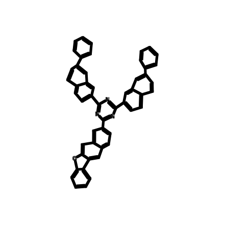 c1ccc(-c2ccc3ccc(-c4nc(-c5ccc6ccc(-c7ccccc7)cc6c5)nc(-c5ccc6cc7c(cc6c5)oc5ccccc57)n4)cc3c2)cc1